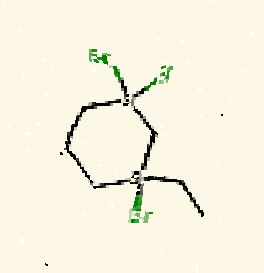 CC[Si]1(Br)CCC[Si](Br)(Br)C1